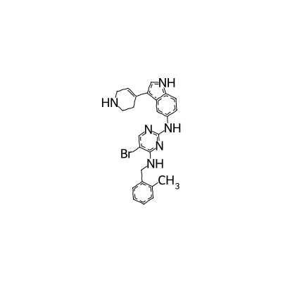 Cc1ccccc1CNc1nc(Nc2ccc3[nH]cc(C4=CCNCC4)c3c2)ncc1Br